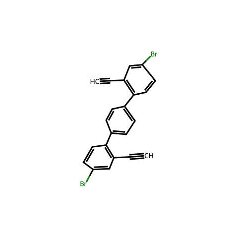 C#Cc1cc(Br)ccc1-c1ccc(-c2ccc(Br)cc2C#C)cc1